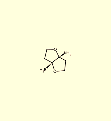 B[C@@]12CCO[C@]1(N)CCO2